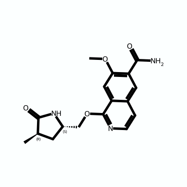 COc1cc2c(OC[C@@H]3C[C@@H](C)C(=O)N3)nccc2cc1C(N)=O